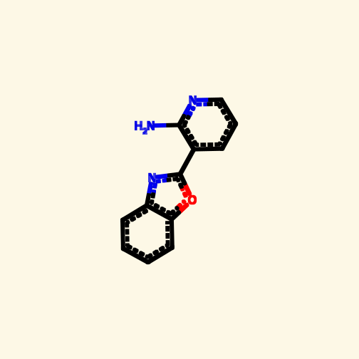 Nc1ncccc1-c1nc2ccccc2o1